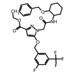 CCOC(=O)c1cc(OCc2cc(F)cc(C(F)(F)F)c2)n(CC(=O)NC2CCCCC2OCc2ccccc2)n1